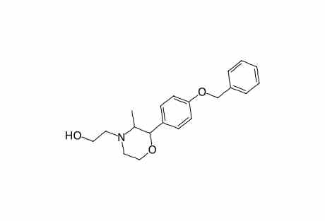 CC1C(c2ccc(OCc3ccccc3)cc2)OCCN1CCO